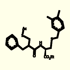 CCOC(=O)[C@H](CSCc1ccc(C)c(C)c1)NC(=O)C(CSC(C)=O)Cc1ccccc1